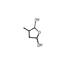 CC1CC(O)OC1O